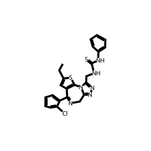 CCc1cc2c(s1)-n1c(nnc1CNC(=S)Nc1ccccc1)CN=C2c1ccccc1Cl